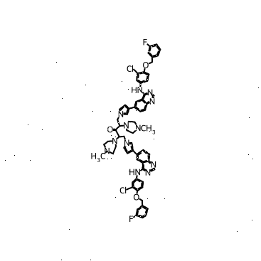 CN1CCN(C(Cn2ccc(-c3ccc4ncnc(Nc5ccc(OCc6cccc(F)c6)c(Cl)c5)c4c3)c2)C(=O)C(Cn2ccc(-c3ccc4ncnc(Nc5ccc(OCc6cccc(F)c6)c(Cl)c5)c4c3)c2)N2CCN(C)CC2)CC1